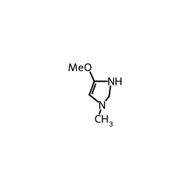 COC1=CN(C)CN1